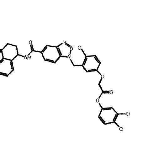 O=C(COc1ccc(Cl)c(Cn2nnc3cc(C(=O)NC4CCCc5ccccc54)ccc32)c1)Oc1ccc(Cl)c(Cl)c1